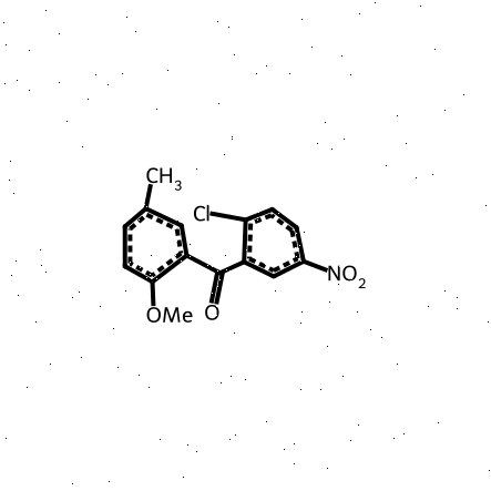 COc1ccc(C)cc1C(=O)c1cc([N+](=O)[O-])ccc1Cl